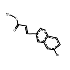 CC(C)(C)OC(=O)/C=C/c1cnc2ccc(Br)cc2c1